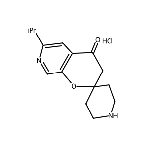 CC(C)c1cc2c(cn1)OC1(CCNCC1)CC2=O.Cl